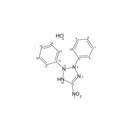 Cl.O=[N+]([O-])C1=NN(c2ccccc2)N(c2ccccc2)N1